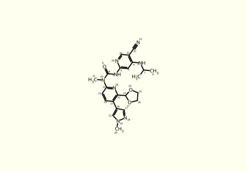 CC(C)Nc1cc(NC(=O)N(C)c2ccc(-c3cnn(C)c3)c(C3OCCO3)n2)ncc1C#N